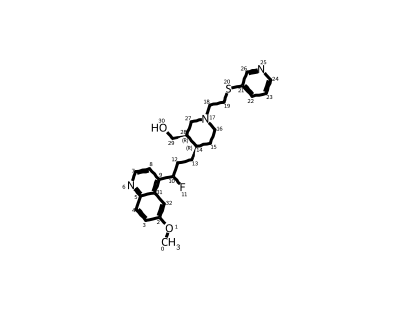 COc1ccc2nccc(C(F)CC[C@@H]3CCN(CCSc4cccnc4)C[C@@H]3CO)c2c1